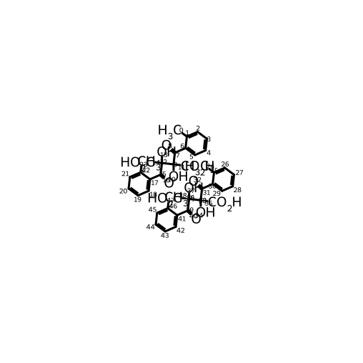 Cc1ccccc1C(=O)C(O)(C(=O)O)C(O)(C(=O)O)C(=O)c1ccccc1C.Cc1ccccc1C(=O)[C@@](O)(C(=O)O)[C@](O)(C(=O)O)C(=O)c1ccccc1C